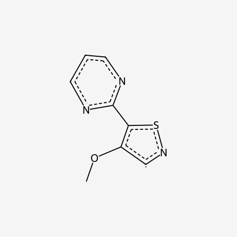 COc1[c]nsc1-c1ncccn1